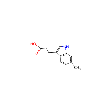 Cc1ccc2c(CCC(=O)O)c[nH]c2c1